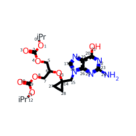 CC(C)OC(=O)OC[C](COC(=O)OC(C)C)OC1(Cn2cnc3c(O)nc(N)nc32)CC1